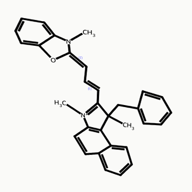 CN1/C(=C/C=C/C2=[N+](C)c3ccc4ccccc4c3C2(C)Cc2ccccc2)Oc2ccccc21